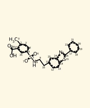 Cc1ccc(S(=O)(=O)NCCc2ccc3sc(-c4ccccc4)nc3c2)cc1C(=O)O